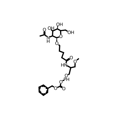 COCC(COPOC(=O)OCc1ccccc1)NC(=O)CCCCO[C@@H]1OC(CO)[C@H](O)C(O)C1NC(C)=O